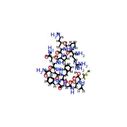 COC(=O)[C@H](CCSC)NC(=O)[C@H](CC(C)C)NC(=O)CNC(=O)[C@H](Cc1ccccc1)NC(=O)[C@H](Cc1ccccc1)NC(=O)[C@H](CCC(N)=O)NC(=O)[C@H](CCC(N)=O)NC(=O)[C@@H]1CCCN1C(=O)[C@H](CCCCN)NC(=O)[C@@H]1CCCN1C(=O)[C@@H](N)CCN=C(N)N